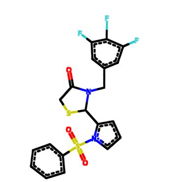 O=C1CSC(c2cccn2S(=O)(=O)c2ccccc2)N1Cc1cc(F)c(F)c(F)c1